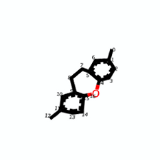 Cc1ccc2c(c1)CCc1cc(C)ccc1O2